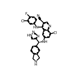 N#Cc1cnc2c(Cl)cc(N[C@@H](c3ccc4c(c3)CNC4)c3c[nH]nn3)cc2c1Nc1ccc(F)c(Cl)c1